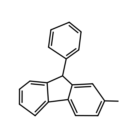 Cc1ccc2c(c1)C(c1ccccc1)c1ccccc1-2